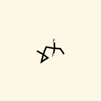 CCC(F)(F)CC1(C)CC1